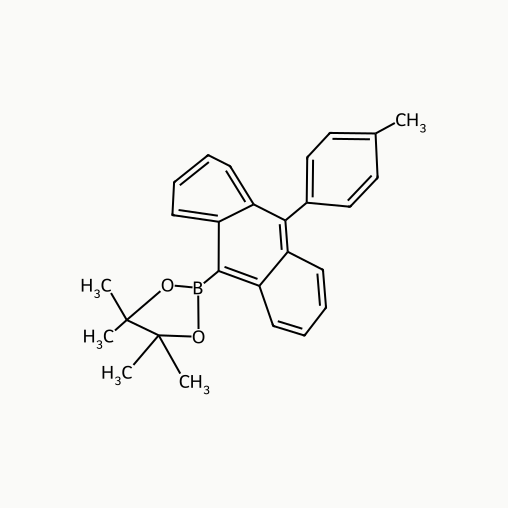 Cc1ccc(-c2c3ccccc3c(B3OC(C)(C)C(C)(C)O3)c3ccccc23)cc1